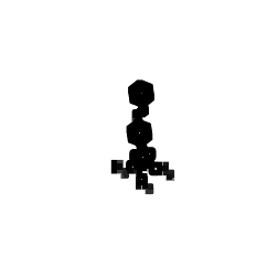 C=C1OB(c2ccc(SCc3ccccc3)cc2)OC1(C)C